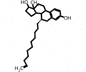 C=CCCCCCCCCC[C@@H]1Cc2cc(O)ccc2C2CCC3(C)C(O)CCC3C21